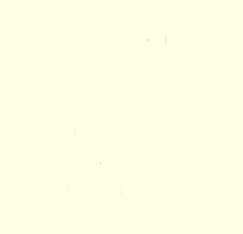 [CH2]CC(F)CC(F)(F)F